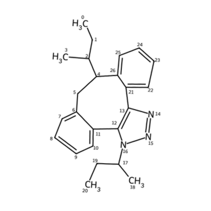 CCC(C)C1Cc2ccccc2-c2c(nnn2C(C)CC)-c2ccccc21